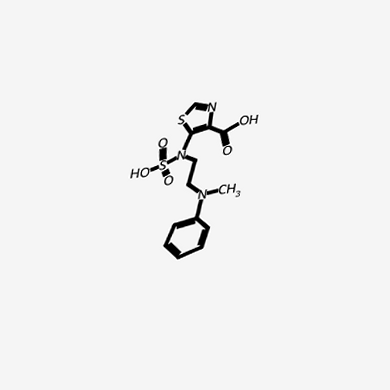 CN(CCN(c1scnc1C(=O)O)S(=O)(=O)O)c1ccccc1